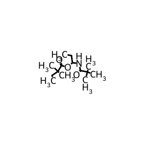 CCC(NC(=O)C(C)(C)C)OC(=O)C(C)(C)CC